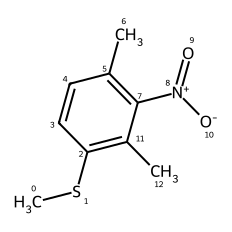 CSc1ccc(C)c([N+](=O)[O-])c1C